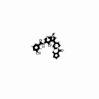 CC1CCCC1C(=O)N1CCC(c2cn(C)c3ncc(NC(=O)c4cccc(C#N)c4)c(C(F)(F)F)c23)CC1